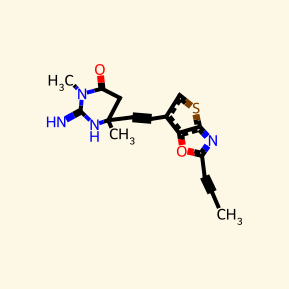 CC#Cc1nc2scc(C#CC3(C)CC(=O)N(C)C(=N)N3)c2o1